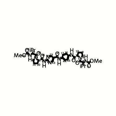 COC(=O)N[C@H](C(=O)N1CCC[C@H]1C(=O)Nc1ccc(NC(=O)c2cnc(NC(=O)[C@@H]3CCCN3C(=O)[C@@H](NC(=O)OC)C(C)C)nc2)cc1)C(C)C